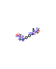 CCC(=O)N[C@H](C(=O)N1CC2(CC2)C[C@H]1c1ncc(-c2ccc(-c3ccc(-c4cnc([C@@H]5CCCN5C(=O)C(NC(=O)OC)C(C)C)[nH]4)cc3)cc2)[nH]1)C(C)C